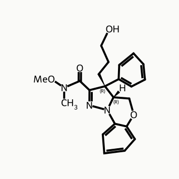 CON(C)C(=O)C1=NN2c3ccccc3OC[C@H]2[C@@]1(CCCO)c1ccccc1